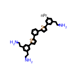 CCCc1cc(CCN)cc(-c2ccc(-c3cccc(-c4ccc(-c5cc(CCN)cc(CCN)c5)s4)c3)s2)c1